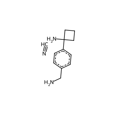 C#N.NCc1ccc(C2(N)CCC2)cc1